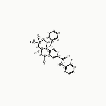 Cc1ncccc1NC(=O)c1ccc2c(c1)C(=O)C[C@H]1CC(O)(C(F)(F)F)CC[C@@]21Cc1ccccc1